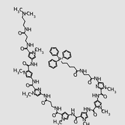 CN(C)CCCNC(=O)CCNC(=O)c1cc(NC(=O)c2cc(NC(=O)c3nc(NC(=O)CCNC(=O)c4cc(NC(=O)c5cc(NC(=O)c6cc(NC(=O)c7nc(NC(=O)CCNC(=O)CCCC[P+](c8ccccc8)(c8ccccc8)c8ccccc8)cn7C)cn6C)cn5C)cn4C)cn3C)cn2C)cn1C